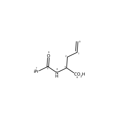 C=CCC(NC(=O)C(C)C)C(=O)O